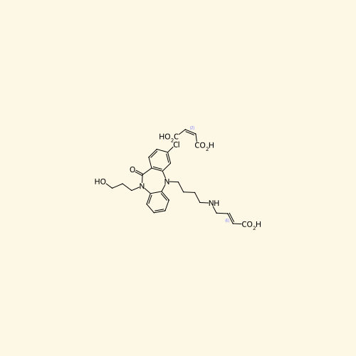 O=C(O)/C=C/CNCCCCN1c2cc(Cl)ccc2C(=O)N(CCCO)c2ccccc21.O=C(O)/C=C\C(=O)O